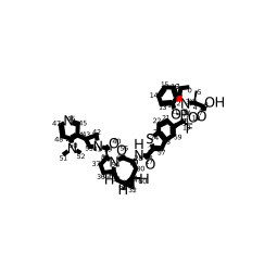 CCCN([C@@H](C)C(=O)O)[P@](=O)(Oc1ccccc1)[C@@H](F)c1ccc2sc(C(=O)N[C@H]3C[C@@H]4C[C@@H]4C[C@H]4CC[C@@H](C(=O)N5CC(c6cnccc6N(C)C)C5)N4C3=O)cc2c1